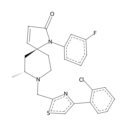 C[C@@H]1C[C@]2(C=CC(=O)N2c2cccc(F)c2)CCN1Cc1nc(-c2ccccc2Cl)cs1